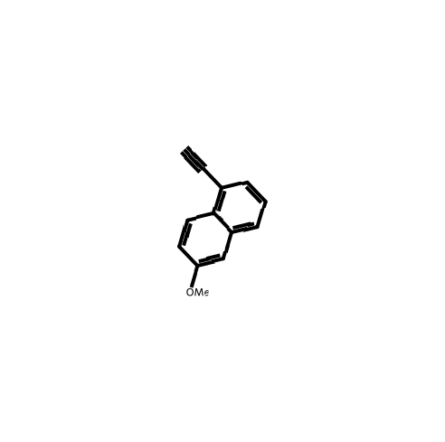 C#Cc1cccc2cc(OC)ccc12